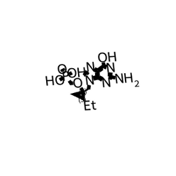 CC[C@H]1C[C@]1(Cn1cnc2c(O)nc(N)nc21)OCP(=O)(O)O